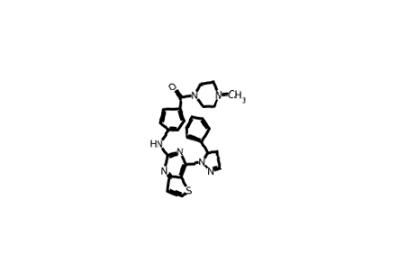 CN1CCN(C(=O)c2ccc(Nc3nc(N4N=CCC4c4ccccc4)c4sccc4n3)cc2)CC1